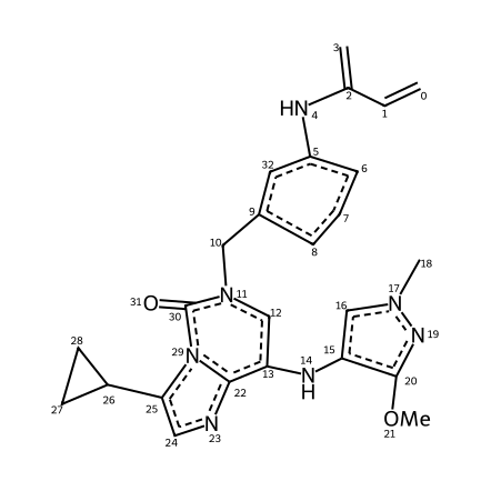 C=CC(=C)Nc1cccc(Cn2cc(Nc3cn(C)nc3OC)c3ncc(C4CC4)n3c2=O)c1